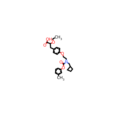 CCOC(Cc1ccc(OCCN(CC2CCC2)C(=O)Oc2cccc(C)c2)cc1)C(=O)O